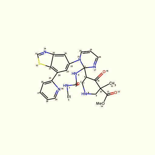 CCNC(=O)NC1(C2CNCC(C)(C(=O)OC)C2=O)N=CC=CN1c1cc(-c2ccccn2)c2scnc2c1